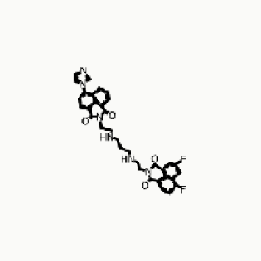 O=C1c2ccc(F)c3cc(F)cc(c23)C(=O)N1CCNCCCNCCN1C(=O)c2cccc3c(-n4ccnc4)ccc(c23)C1=O